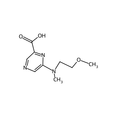 COCCN(C)c1cncc(C(=O)O)n1